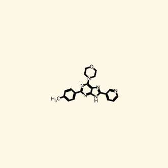 Cc1ccc(-c2nc(N3CCOCC3)c3nc(-c4cccnc4)[nH]c3n2)cc1